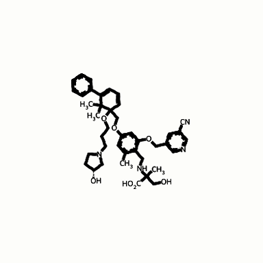 Cc1cc(OCC2(OCCCN3CC[C@@H](O)C3)C=CC=C(c3ccccc3)C2(C)C)cc(OCc2cncc(C#N)c2)c1CNC(C)(CO)C(=O)O